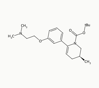 C[C@H]1CC=C(c2cccc(OCCN(C)C)c2)N(C(=O)OC(C)(C)C)C1